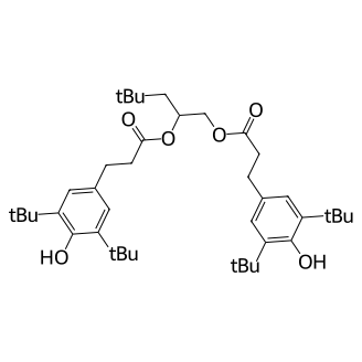 CC(C)(C)CC(COC(=O)CCc1cc(C(C)(C)C)c(O)c(C(C)(C)C)c1)OC(=O)CCc1cc(C(C)(C)C)c(O)c(C(C)(C)C)c1